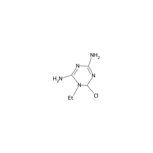 CCN1C(N)=NC(N)=NC1Cl